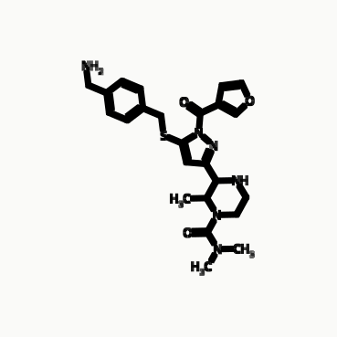 CC1C(c2cc(SCc3ccc(CN)cc3)n(C(=O)c3ccoc3)n2)NCCN1C(=O)N(C)C